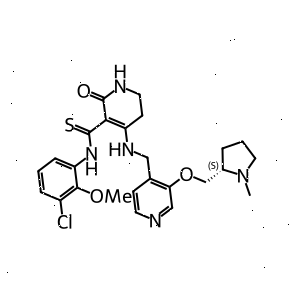 COc1c(Cl)cccc1NC(=S)C1=C(NCc2ccncc2OC[C@@H]2CCCN2C)CCNC1=O